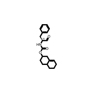 O=[C][C@H](Cc1ccccc1)NC(=O)OC1CCC2CCCC=C2C1